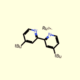 CC(C)(C)c1ccnc(-c2cc(C(C)(C)C)ccn2)c1.[Ru+3]